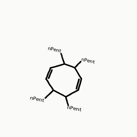 CCCCCC1/C=C\C(CCCCC)C(CCCCC)/C=C\C1CCCCC